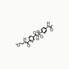 COCCNC(=O)c1ccc(C(=O)NS(=O)(=O)c2ccc(NC(C)=O)cc2)cn1